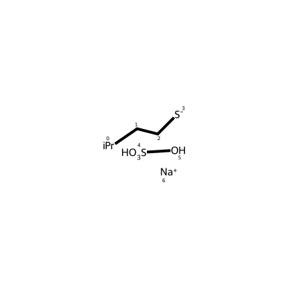 CC(C)CC[S-].O=S(=O)(O)O.[Na+]